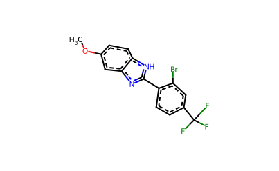 COc1ccc2[nH]c(-c3ccc(C(F)(F)F)cc3Br)nc2c1